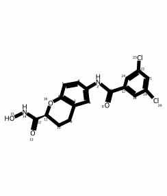 O=C(Nc1ccc2c(c1)CC[C@@H](C(=O)NO)O2)c1cc(Cl)cc(Cl)c1